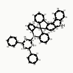 c1ccc(-c2nc(-c3ccccc3)nc(N3c4ccccc4C4(c5ccccc5-c5c4ccc4[nH]c6ccccc6c54)c4ccccc43)n2)cc1